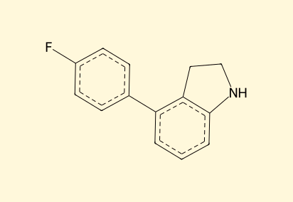 Fc1ccc(-c2cccc3c2CCN3)cc1